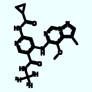 [2H]C([2H])([2H])NC(=O)c1cnc(NC(=O)C2CC2)cc1Nc1ncn2ncc(C)c2c1OC